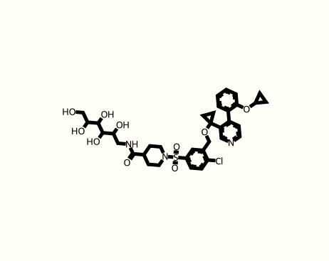 O=C(NCC(O)C(O)C(O)C(O)CO)C1CCN(S(=O)(=O)c2ccc(Cl)c(COC3(c4cnccc4-c4ccccc4OC4CC4)CC3)c2)CC1